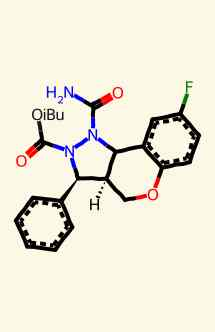 CC(C)COC(=O)N1[C@H](c2ccccc2)[C@@H]2COc3ccc(F)cc3C2N1C(N)=O